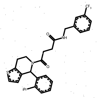 CC(C)c1ccccc1C1c2ccsc2CCN1C(=O)CCC(=O)NCc1cccc(C(F)(F)F)c1